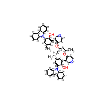 Cc1cc(-c2cnccc2OC(C)C[C@H](C)Oc2ccncc2-c2cc(C)cc(-n3c4ccccc4c4ccccc43)c2O)c(O)c(-n2c3ccccc3c3ccccc32)c1